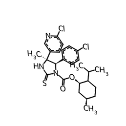 CC(C)C1CC[C@@H](C)C[C@H]1OC(=O)N1C(=S)N[C@@](C)(c2ccc(Cl)nc2)[C@H]1c1ccc(Cl)cc1